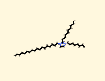 CCCCCCCCCCCCCCCCCCn1cc[n+](CCCCCCCC)c1CCCCCCCCC